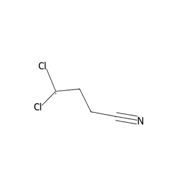 N#CCC[C](Cl)Cl